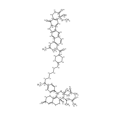 CC[C@H]1[C@@H]2CCC3=CC(=O)CCC3=C2[C@@H](c2ccc(N(C)CCCCCCN3CCN(C(=O)Oc4ccc5nc6c(cc5c4CN(C)C)Cn4c-6cc5c(c4=O)COC(=O)[C@]5(O)CC)CC3)cc2)C[C@]1(C)[C@@H](OC(C)=O)C(C)=O